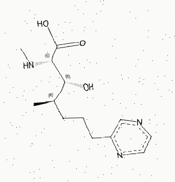 CN[C@H](C(=O)O)[C@H](O)[C@H](C)CCCc1cnccn1